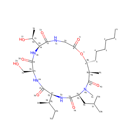 CCCCCC[C@H]1OC(=O)CNC(=O)[C@H]([C@H](C)O)NC(=O)[C@H](CO)NC(=O)[C@H]([C@H](C)CC)NC(=O)[C@H](CC(C)C)N(C)C(=O)[C@@H]1C